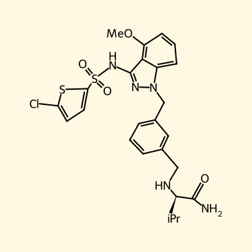 COc1cccc2c1c(NS(=O)(=O)c1ccc(Cl)s1)nn2Cc1cccc(CN[C@@H](C(N)=O)C(C)C)c1